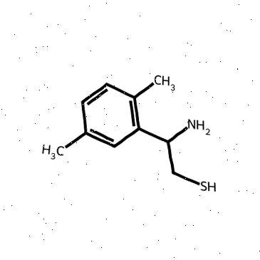 Cc1ccc(C)c(C(N)CS)c1